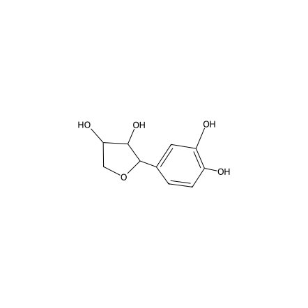 Oc1ccc(C2OCC(O)C2O)cc1O